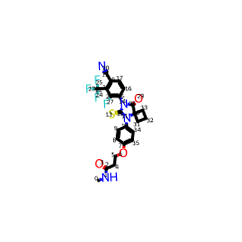 CNC(=O)CCOc1ccc(N2C(=S)N(c3ccc(C#N)c(C(F)(F)F)c3F)C(=O)C23CCC3)cc1